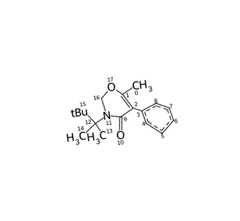 CC1=C(c2ccccc2)C(=O)N(C(C)(C)C(C)(C)C)CO1